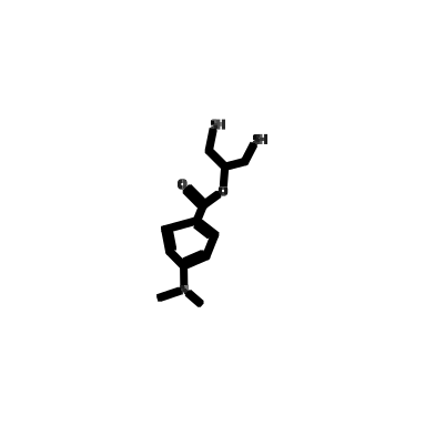 CN(C)c1ccc(C(=O)OC(CS)CS)cc1